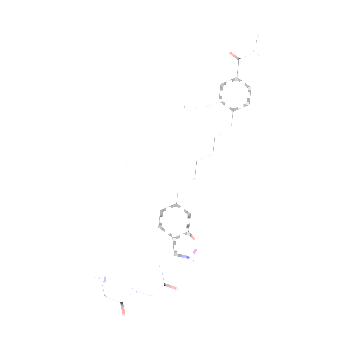 CCC[C@H](NS)C(=O)N[C@@H](C)C(=O)Nc1noc2cc(OCCCCOc3ccc(C(=O)N(C(C)C)C(C)C)cc3OC)ccc12.CS(=O)(=O)O